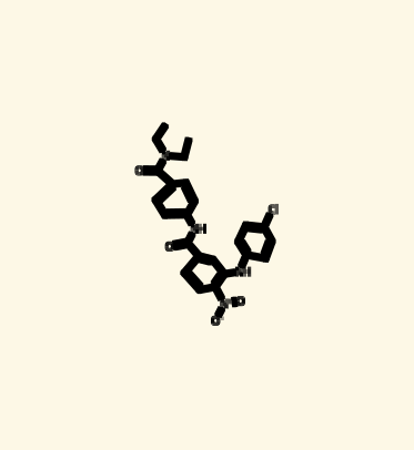 CCN(CC)C(=O)c1ccc(NC(=O)c2ccc([N+](=O)[O-])c(Nc3ccc(Cl)cc3)c2)cc1